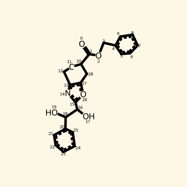 O=C(OCc1ccccc1)C1CCc2nc(C(O)C(O)c3ccccc3)oc2C1